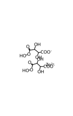 O=C([O-])C(O)C(O)C(=O)OO.O=C([O-])C(O)C(O)C(=O)OO.[Zn+2]